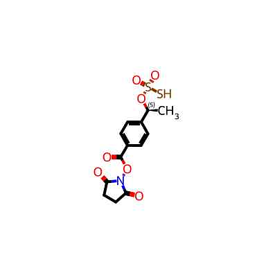 C[C@H](OS(=O)(=O)S)c1ccc(C(=O)ON2C(=O)CCC2=O)cc1